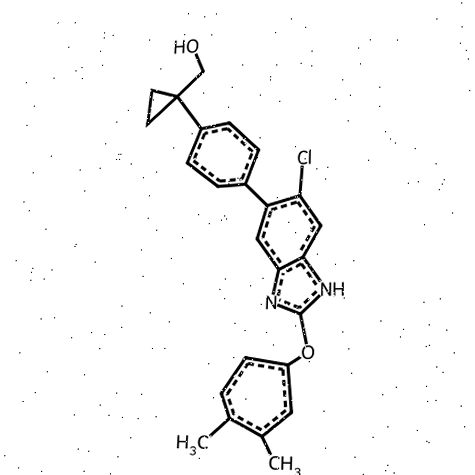 Cc1ccc(Oc2nc3cc(-c4ccc(C5(CO)CC5)cc4)c(Cl)cc3[nH]2)cc1C